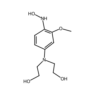 COc1cc(N(CCO)CCO)ccc1NO